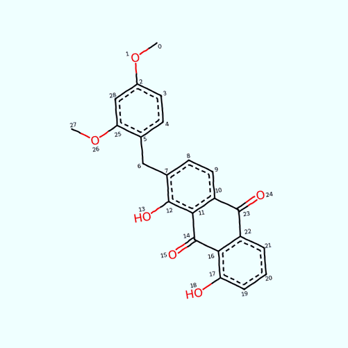 COc1ccc(Cc2ccc3c(c2O)C(=O)c2c(O)cccc2C3=O)c(OC)c1